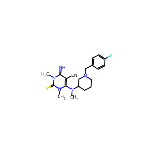 CN(c1c(C#N)c(=N)n(C)c(=S)n1C)C1CCCN(Cc2ccc(F)cc2)C1